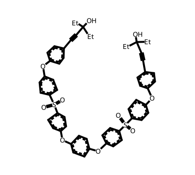 CCC(O)(C#Cc1ccc(Oc2ccc(S(=O)(=O)c3ccc(Oc4ccc(Oc5ccc(S(=O)(=O)c6ccc(Oc7ccc(C#CC(O)(CC)CC)cc7)cc6)cc5)cc4)cc3)cc2)cc1)CC